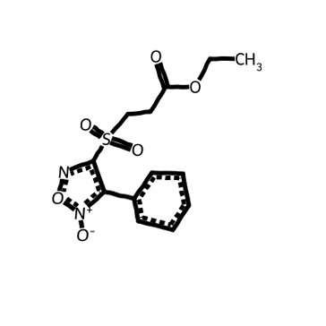 CCOC(=O)CCS(=O)(=O)c1no[n+]([O-])c1-c1ccccc1